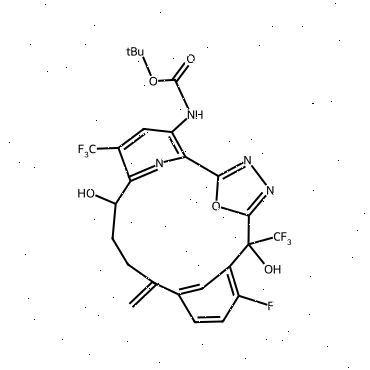 C=C1CCC(O)c2nc(c(NC(=O)OC(C)(C)C)cc2C(F)(F)F)-c2nnc(o2)C(O)(C(F)(F)F)c2cc1ccc2F